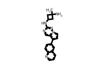 CC1(N)CC(Nc2ncc3c(-c4ccc5ncccc5c4)ccn3n2)C1